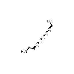 CCC=C=C=C=C=C=CCN